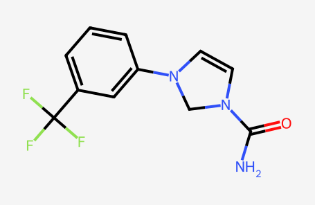 NC(=O)N1C=CN(c2cccc(C(F)(F)F)c2)C1